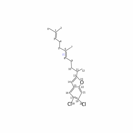 CC(C)=CCC/C(C)=C/CCC(C)c1cc2cc(Cl)c(Cl)cc2o1